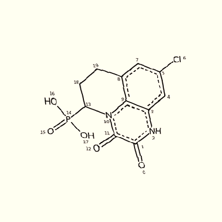 O=c1[nH]c2cc(Cl)cc3c2n(c1=O)C(P(=O)(O)O)CC3